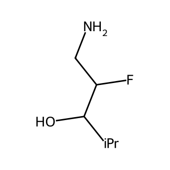 CC(C)C(O)C(F)CN